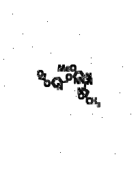 COc1cc2nnc(-c3cc(C)on3)n2nc1OCc1ccc(OC2COC2)cn1